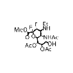 CCNC1[C@@H](NC(C)=O)C([C@H](OC(C)=O)[C@@H](CO)OC(C)=O)O[C@@](F)(C(=O)OC)[C@H]1F